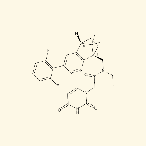 CCN(C[C@@]12CC[C@@H](c3cc(-c4c(F)cccc4F)nnc31)C2(C)C)C(=O)Cn1ccc(=O)[nH]c1=O